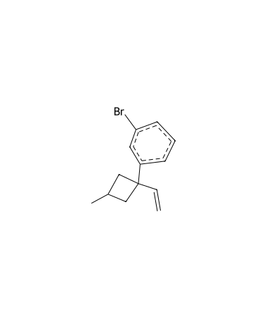 C=CC1(c2cccc(Br)c2)CC(C)C1